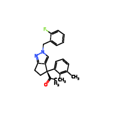 CC(=O)[C@@]1(c2cccc(C)c2C)CCc2nn(Cc3ccccc3F)cc21